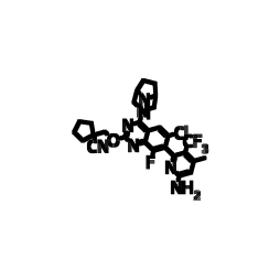 Cc1cc(N)nc(-c2c(Cl)cc3c(N4CC5CCC(C4)N5)nc(OCC4(C#N)CCCC4)nc3c2F)c1C(F)(F)F